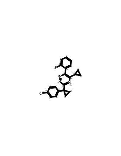 Fc1ccccc1-c1nnc(C2(c3ccc(Cl)cc3)CC2)nc1C1CC1